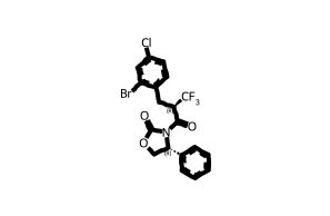 O=C1OC[C@@H](c2ccccc2)N1C(=O)[C@@H](Cc1ccc(Cl)cc1Br)C(F)(F)F